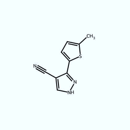 Cc1ccc(-c2n[nH]cc2C#N)s1